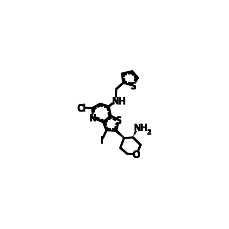 N[C@@H]1COCC[C@H]1c1sc2c(NCc3cccs3)cc(Cl)nc2c1I